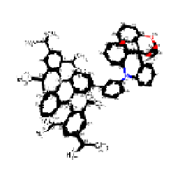 CC(C)c1cc(C(C)C)c(B2c3ccccc3B(c3c(C(C)C)cc(C(C)C)cc3C(C)C)c3cc(-c4cccc(N5c6ccccc6C6(c7ccccc7Oc7ccccc76)c6ccccc65)c4)ccc32)c(C(C)C)c1